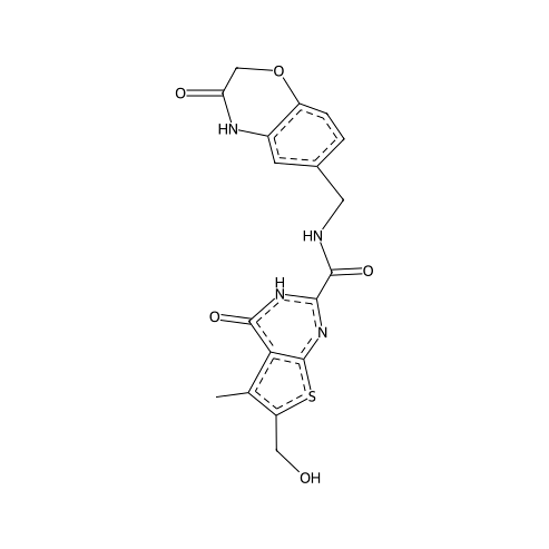 Cc1c(CO)sc2nc(C(=O)NCc3ccc4c(c3)NC(=O)CO4)[nH]c(=O)c12